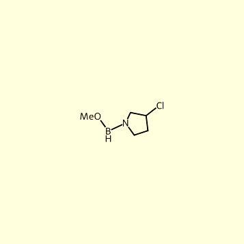 COBN1CCC(Cl)C1